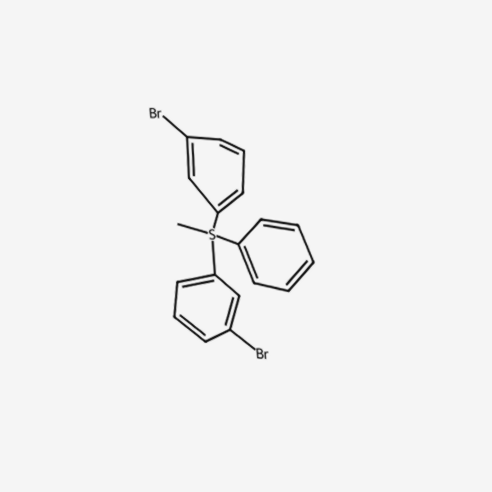 CS(c1ccccc1)(c1cccc(Br)c1)c1cccc(Br)c1